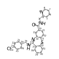 O=C(NCc1ccccn1)c1ccc2c(c1)N=C(NCc1ccc(Cl)cc1)c1ccccc1S2